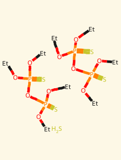 CCOP(=S)(OCC)OP(=S)(OCC)OCC.CCOP(=S)(OCC)OP(=S)(OCC)OCC.S